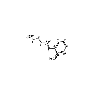 OCCCN=Cc1ccccc1O